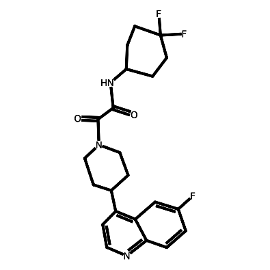 O=C(NC1CCC(F)(F)CC1)C(=O)N1CCC(c2ccnc3ccc(F)cc23)CC1